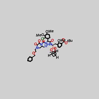 COc1ccc(C(NC(=O)N2C(=O)C(=O)N(CCOCc3ccccc3)CC2C)C(=O)N[C@@H](Cc2cccc(C(=O)OC(C)(C)C)c2OC)B2O[C@@H]3C[C@@H]4C[C@@H](C4(C)C)[C@]3(C)O2)c(Cl)c1OC